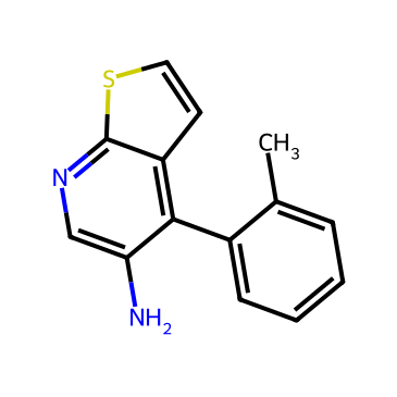 Cc1ccccc1-c1c(N)cnc2sccc12